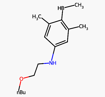 CBc1c(C)cc(NCCOCCCC)cc1C